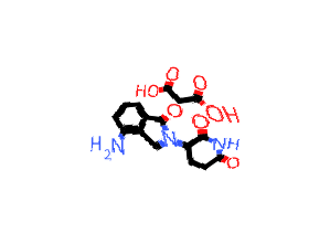 Nc1cccc2c1CN(C1CCC(=O)NC1=O)C2=O.O=C(O)CC(=O)O